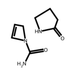 NC(=O)N1C=CC1.O=C1CCCN1